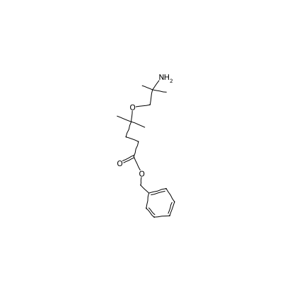 CC(C)(N)COC(C)(C)CCC(=O)OCc1ccccc1